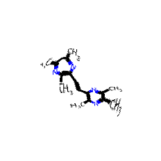 Cc1nc(C)c(/C=C/c2nc(C)c(C)nc2C)nc1C